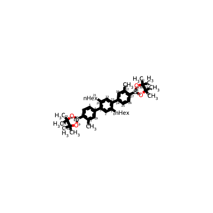 CCCCCCc1cc(-c2ccc(B3OC(C)(C)C(C)(C)O3)c(C)c2)c(CCCCCC)cc1-c1ccc(B2OC(C)(C)C(C)(C)O2)c(C)c1